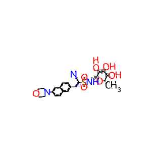 CC1O[C@H](CNS(=O)(=O)/C(C#N)=C/c2ccc3cc(N4CCOCC4)ccc3c2)[C@@H](O)[C@H](O)[C@H]1O